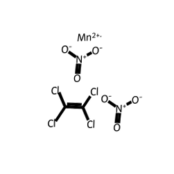 ClC(Cl)=C(Cl)Cl.O=[N+]([O-])[O-].O=[N+]([O-])[O-].[Mn+2]